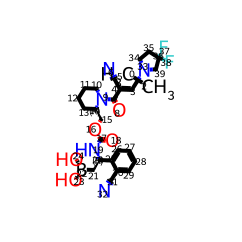 CC(C)(C=C(C#N)C(=O)N1CCCC[C@@H]1COC(=O)N[C@H](CB(O)O)c1ccccc1C#N)N1CCC(F)(F)C1